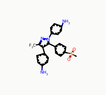 CS(=O)(=O)c1ccc(-c2c(-c3ccc(N)cc3)c(C(F)(F)F)nn2-c2ccc(N)cc2)cc1